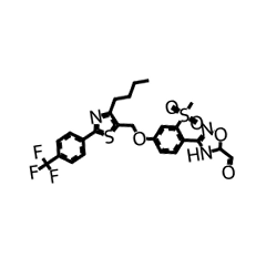 CCCCc1nc(-c2ccc(C(F)(F)F)cc2)sc1COc1ccc(C2=NOC(C=O)N2)c(S(C)(=O)=O)c1